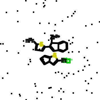 CCC1=CC2C=CC=C2S1.CCCc1ccc(C2=Cc3ccccc3[CH]2[Zr+2])s1.[Cl-].[Cl-]